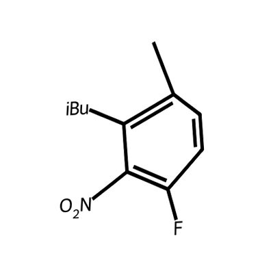 [CH2]CC(C)c1c(C)ccc(F)c1[N+](=O)[O-]